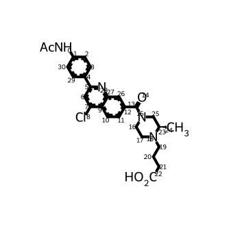 CC(=O)Nc1ccc(-c2cc(Cl)c3ccc(C(=O)N4CCN(CCCC(=O)O)[C@H](C)C4)cc3n2)cc1